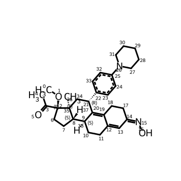 CO[C@]1(C(C)=O)CC[C@H]2[C@@H]3CCC4=CC(=NO)CCC4=C3[C@@H](c3ccc(N4CCCCC4)cc3)C[C@@]21C